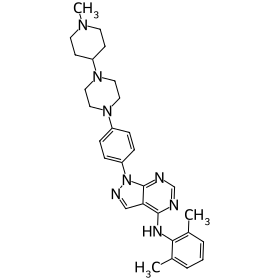 Cc1cccc(C)c1Nc1ncnc2c1cnn2-c1ccc(N2CCN(C3CCN(C)CC3)CC2)cc1